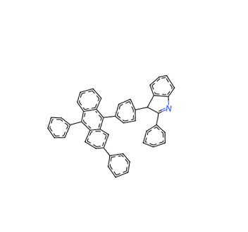 c1ccc(C2=Nc3ccccc3C2c2ccc(-c3c4ccccc4c(-c4ccccc4)c4ccc(-c5ccccc5)cc34)cc2)cc1